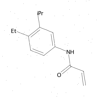 C=CC(=O)Nc1ccc(CC)c(C(C)C)c1